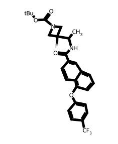 CC(NC(=O)c1ccc2c(Oc3ccc(C(F)(F)F)cc3)cccc2c1)C1(F)CN(C(=O)OC(C)(C)C)C1